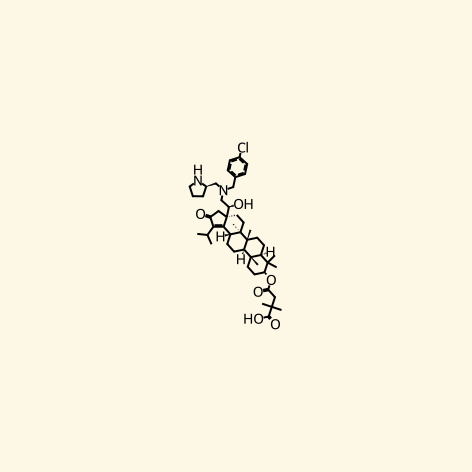 CC(C)C1=C2[C@H]3CC[C@@H]4[C@@]5(C)CC[C@H](OC(=O)CC(C)(C)C(=O)O)C(C)(C)[C@@H]5CC[C@@]4(C)[C@]3(C)CC[C@@]2([C@H](O)CN(Cc2ccc(Cl)cc2)C[C@H]2CCCN2)CC1=O